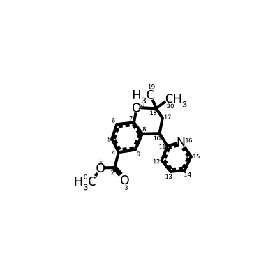 COC(=O)c1ccc2c(c1)C(c1ccccn1)CC(C)(C)O2